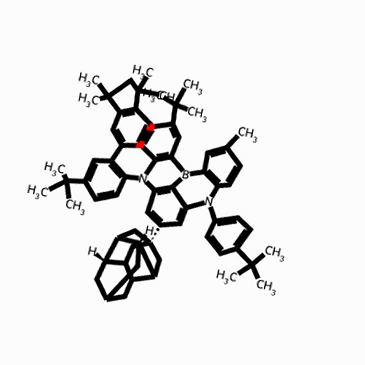 Cc1ccc2c(c1)B1c3cc(C(C)(C)C)ccc3N(c3ccc(C(C)(C)C)cc3-c3ccc4c(c3)C(C)(C)CC4(C)C)c3cc([C@]45CC6C7CC8C[C@@H]6C(C4)[C@@H](C8)C7C5)cc(c31)N2c1ccc(C(C)(C)C)cc1